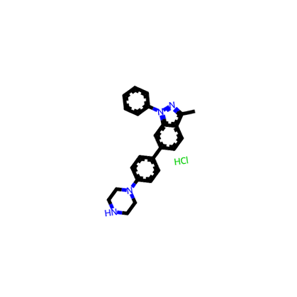 Cc1nn(-c2ccccc2)c2cc(-c3ccc(N4CCNCC4)cc3)ccc12.Cl